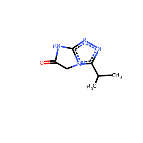 CC(C)c1nnc2n1CC(=O)N2